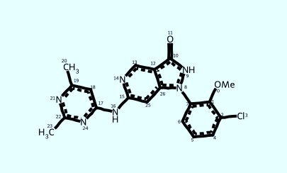 COc1c(Cl)cccc1-n1[nH]c(=O)c2cnc(Nc3cc(C)nc(C)n3)cc21